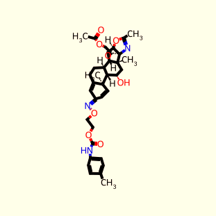 CC(=O)OCC(=O)[C@@]12N=C(C)O[C@@H]1C[C@H]1[C@@H]3CCC4=C/C(=N/OCCOC(=O)Nc5ccc(C)cc5)C=C[C@]4(C)[C@H]3[C@@H](O)C[C@@]12C